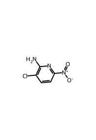 Nc1nc([N+](=O)[O-])ccc1Cl